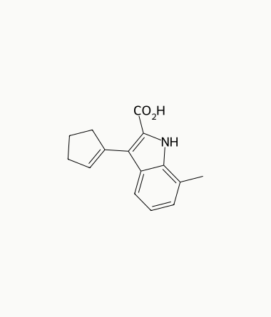 Cc1cccc2c(C3=CCCC3)c(C(=O)O)[nH]c12